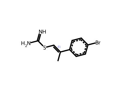 C/C(=C\SC(=N)N)c1ccc(Br)cc1